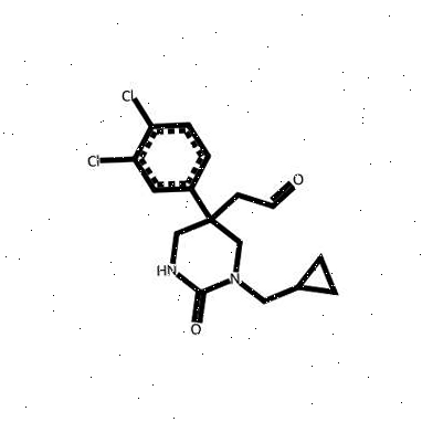 O=CCC1(c2ccc(Cl)c(Cl)c2)CNC(=O)N(CC2CC2)C1